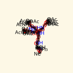 CC(=O)NC1[C@H](OCCOCCNC(=O)CCOCC(COCCC(=O)NCCOCCO[C@@H]2O[C@H](COC(C)=O)[C@@H](OC(C)=O)[C@@H](OC(C)=O)[C@@H]2NC(C)=O)(COCCC(=O)NCCOCCO[C@H]2O[C@H](COC(C)=O)[C@@H](OC(C)=O)[C@@H](OC(C)=O)[C@@H]2NC(C)=O)NC(=O)CCOCCOCCNC(=O)CCc2ccc3c(c2)C(C)N(C(C)C)P(OCCC#N)O3)O[C@H](COC(C)=O)[C@H](OC(C)=O)[C@@H]1OC(C)=O